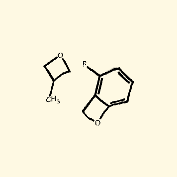 CC1COC1.Fc1cccc2c1CO2